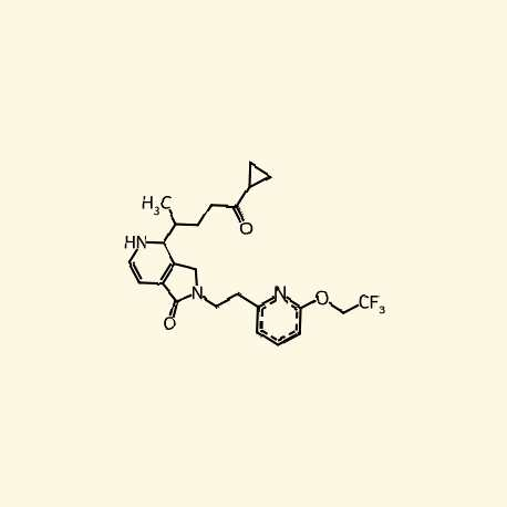 CC(CCC(=O)C1CC1)C1NC=CC2=C1CN(CCc1cccc(OCC(F)(F)F)n1)C2=O